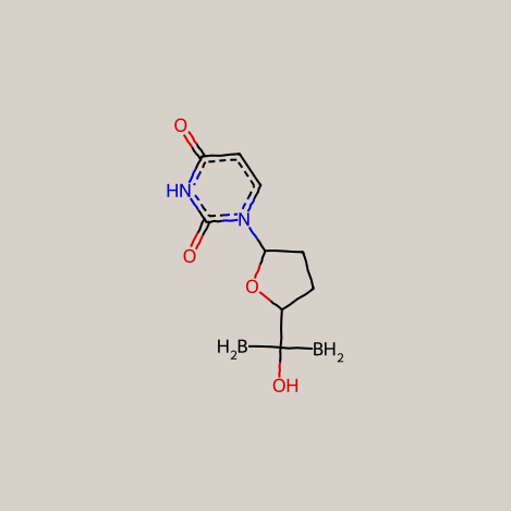 BC(B)(O)C1CCC(n2ccc(=O)[nH]c2=O)O1